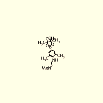 CNCCNc1c(C)cc(B2OC(C)(C)C(C)(C)O2)cc1C